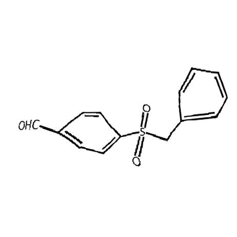 O=Cc1ccc(S(=O)(=O)Cc2ccccc2)cc1